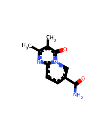 Cc1nc2ccc(C(N)=O)cn2c(=O)c1C